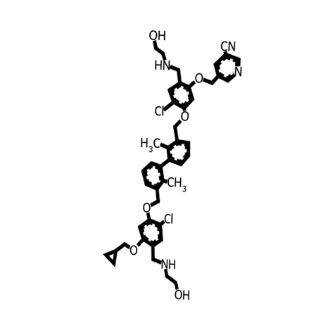 Cc1c(COc2cc(OCc3cncc(C#N)c3)c(CNCCO)cc2Cl)cccc1-c1cccc(COc2cc(OCC3CC3)c(CNCCO)cc2Cl)c1C